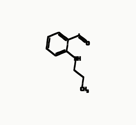 CCCNc1ccccc1[C]=O